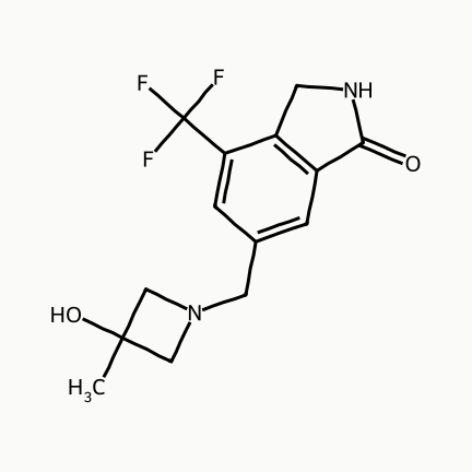 CC1(O)CN(Cc2cc3c(c(C(F)(F)F)c2)CNC3=O)C1